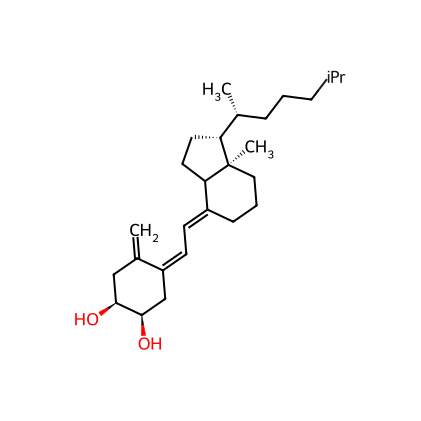 C=C1C[C@H](O)[C@H](O)C/C1=C/C=C1CCC[C@@]2(C)C1CC[C@@H]2[C@H](C)CCCC(C)C